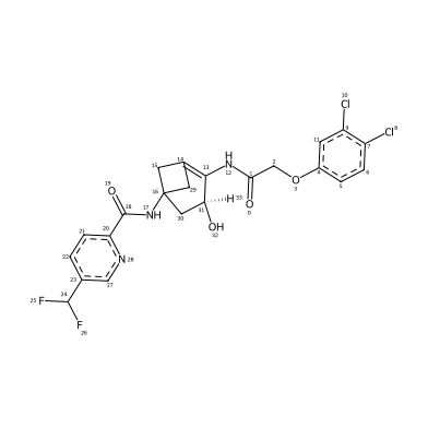 O=C(COc1ccc(Cl)c(Cl)c1)NC1=C2CC(NC(=O)c3ccc(C(F)F)cn3)(C2)C[C@@H]1O